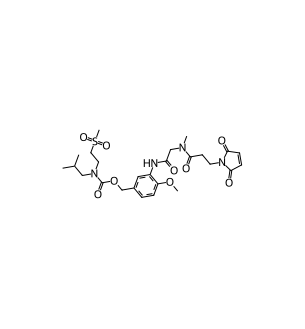 COc1ccc(COC(=O)N(CCS(C)(=O)=O)CC(C)C)cc1NC(=O)CN(C)C(=O)CCN1C(=O)C=CC1=O